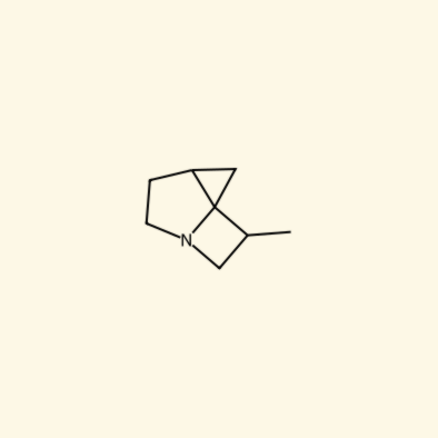 CC1CN2CCC3CC132